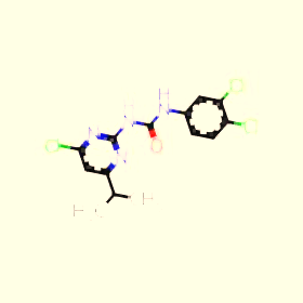 CC(C)c1cc(Cl)nc(NC(=O)Nc2ccc(Cl)c(Cl)c2)n1